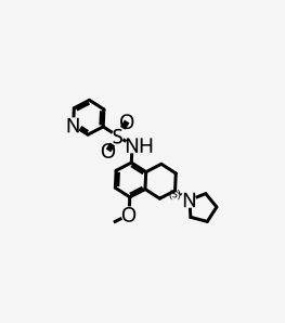 COc1ccc(NS(=O)(=O)c2cccnc2)c2c1C[C@@H](N1CCCC1)CC2